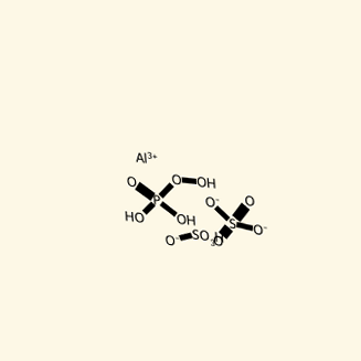 O=P(O)(O)OO.O=S(=O)([O-])O.O=S(=O)([O-])[O-].[Al+3]